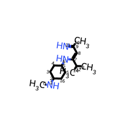 CNC1CCC(N/C(=C\C(C)=N)C(C)C)CC1